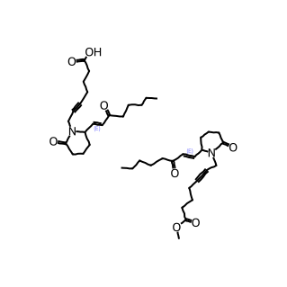 CCCCCC(=O)/C=C/C1CCCC(=O)N1CC#CCCCC(=O)O.CCCCCC(=O)/C=C/C1CCCC(=O)N1CC#CCCCC(=O)OC